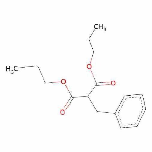 CCCOC(=O)C(Cc1ccccc1)C(=O)OCCC